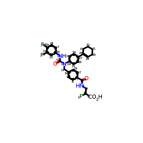 O=C(NCC(F)C(=O)O)c1ccc(CN(C(=O)Nc2ccc(F)c(F)c2)c2ccc(C3=CCCCC3)cc2)cc1